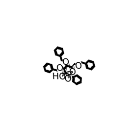 O=[P@@]1(c2ccccc2)O[C@H](COCc2ccccc2)[C@@H](OCc2ccccc2)[C@H](OCc2ccccc2)[C@@H]1O